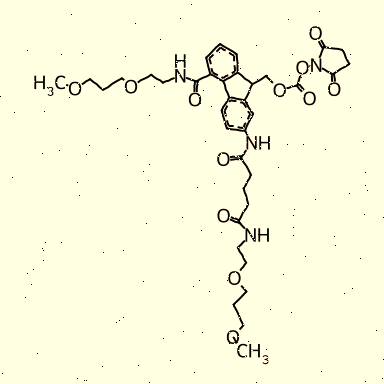 COCCCOCCNC(=O)CCCC(=O)Nc1ccc2c(c1)C(COC(=O)ON1C(=O)CCC1=O)c1cccc(C(=O)NCCOCCCOC)c1-2